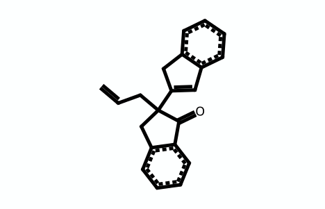 C=CCC1(C2=Cc3ccccc3C2)Cc2ccccc2C1=O